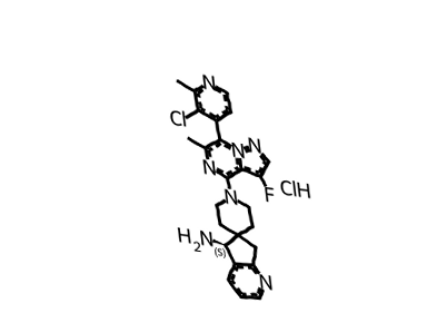 Cc1nccc(-c2c(C)nc(N3CCC4(CC3)Cc3ncccc3[C@H]4N)c3c(F)cnn23)c1Cl.Cl